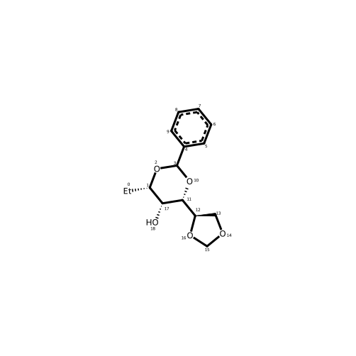 CC[C@@H]1OC(c2ccccc2)O[C@H]([C@H]2COCO2)[C@@H]1O